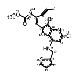 CC#C/C(=C\c1oc2c(NCc3cccs3)cc(Cl)nc2c1Br)N(C)C(=O)OC(C)(C)C